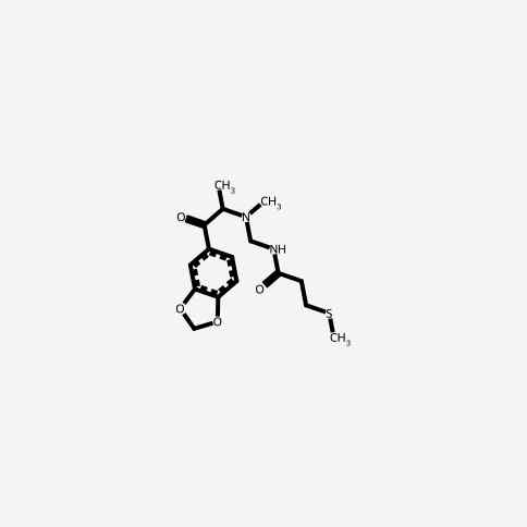 CSCCC(=O)NCN(C)C(C)C(=O)c1ccc2c(c1)OCO2